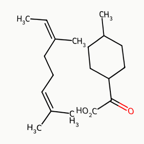 CC1CCC(C(=O)C(=O)O)CC1.CC=C(C)CCC=C(C)C